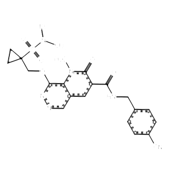 CCN(C)S(=O)(=O)C1(COc2nncc3cc(C(=O)NCc4ccc(C#N)cc4)c(=O)n(C)c23)CC1